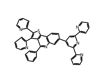 c1ccc(-c2nc3cc(-c4cc(-c5ccccn5)nc(-c5ccccn5)c4)ccc3c3sc(-c4ccccn4)c(-c4ccccn4)c23)cc1